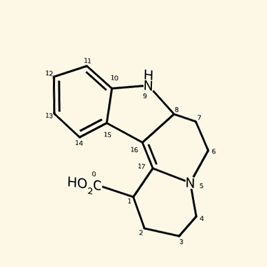 O=C(O)C1CCCN2CCC3Nc4ccccc4C3=C12